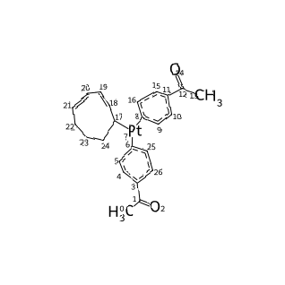 CC(=O)c1cc[c]([Pt]([c]2ccc(C(C)=O)cc2)[CH]2C=CC=CCCC2)cc1